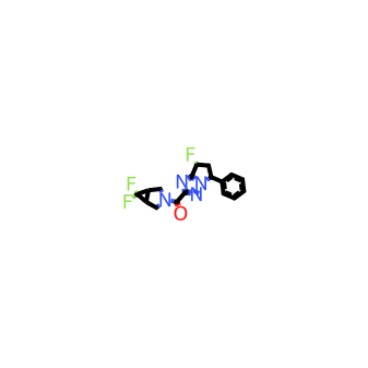 O=C(c1nc2n(n1)C(c1ccccc1)CC2F)N1CC2C(C1)C2(F)F